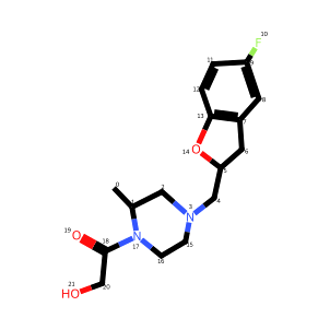 CC1CN(CC2Cc3cc(F)ccc3O2)CCN1C(=O)CO